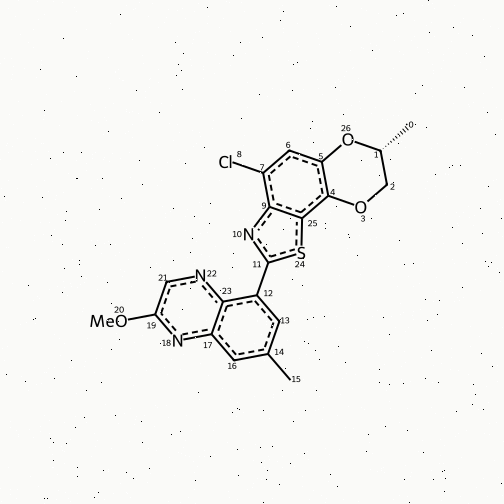 [CH2][C@@H]1COc2c(cc(Cl)c3nc(-c4cc(C)cc5nc(OC)cnc45)sc23)O1